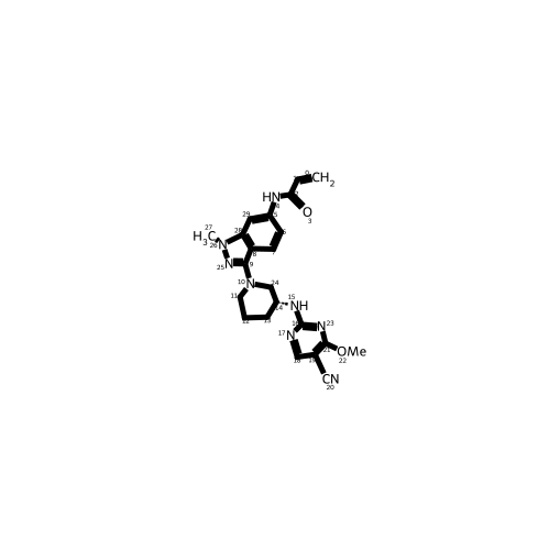 C=CC(=O)Nc1ccc2c(N3CCC[C@@H](Nc4ncc(C#N)c(OC)n4)C3)nn(C)c2c1